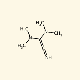 CN(C)C(=C=N)N(C)C